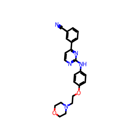 N#Cc1cccc(-c2ccnc(Nc3ccc(OCCN4CCOCC4)cc3)n2)c1